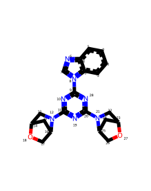 c1ccc2c(c1)ncn2-c1nc(N2CC3CC2CO3)nc(N2CC3CC2CO3)n1